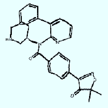 CC1(C)ON=C(c2ccc(C(=O)N(c3ncccc3-c3ccccc3)[C@@H]3CCCNC3)cc2)C1=O